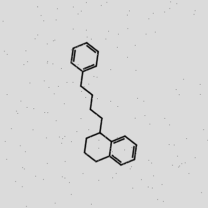 c1ccc(CCCC[C]2CCCc3ccccc32)cc1